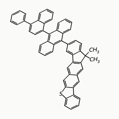 CC1(C)c2ccc(-c3c4ccccc4c(-c4ccc(-c5ccccc5)c5ccccc45)c4ccccc34)cc2-c2cc3cc4sc5ccccc5c4cc3cc21